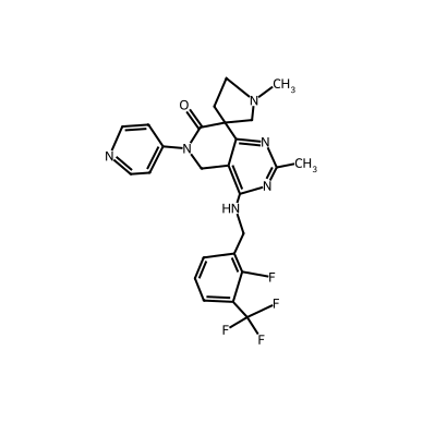 Cc1nc(NCc2cccc(C(F)(F)F)c2F)c2c(n1)C1(CCN(C)C1)C(=O)N(c1ccncc1)C2